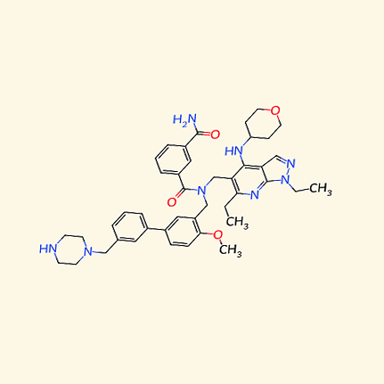 CCc1nc2c(cnn2CC)c(NC2CCOCC2)c1CN(Cc1cc(-c2cccc(CN3CCNCC3)c2)ccc1OC)C(=O)c1cccc(C(N)=O)c1